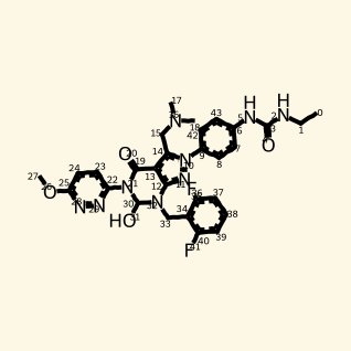 CCNC(=O)Nc1ccc(-n2nc3c(c2CN(C)C)C(=O)N(c2ccc(OC)nn2)C(O)N3Cc2c(F)cccc2F)cc1